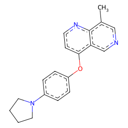 Cc1cncc2c(Oc3ccc(N4CCCC4)cc3)ccnc12